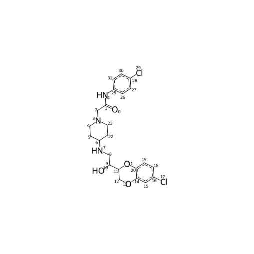 O=C(CN1CCC(NCC(O)C2COc3cc(Cl)ccc3O2)CC1)Nc1ccc(Cl)cc1